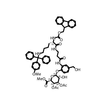 COC(=O)[C@H]1O[C@@H](Oc2ccc(CO)cc2NC(=O)CCNC(=O)[C@H](CCCCNC(c2ccccc2)(c2ccccc2)c2ccc(OC)cc2)NC(=O)OCC2c3ccccc3-c3ccccc32)[C@H](O)[C@@H](OC(C)=O)[C@@H]1OC(C)=O